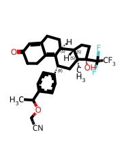 CC(OCC#N)c1ccc([C@H]2C[C@@]3(C)[C@@H](CC[C@@]3(O)C(F)(F)C(F)(F)F)[C@@H]3CCC4=CC(=O)CCC4=C32)cc1